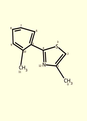 Cc1csc(-c2ccccc2C)n1